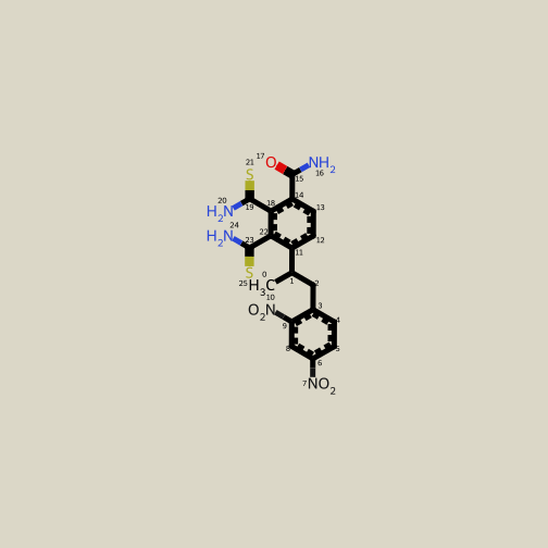 CC(Cc1ccc([N+](=O)[O-])cc1[N+](=O)[O-])c1ccc(C(N)=O)c(C(N)=S)c1C(N)=S